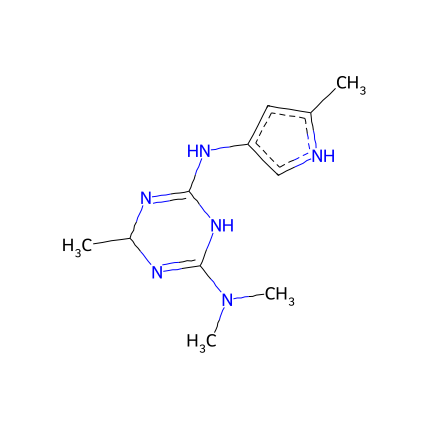 Cc1cc(NC2=NC(C)N=C(N(C)C)N2)c[nH]1